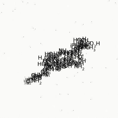 CC(C)[C@H](NC(=O)[C@H](Cc1ccc(O)cc1)NC(=O)[C@H](CO)NC(=O)[C@H](CCCNC(=N)N)NC(=O)[C@H](CO)NC(=O)[C@H](CO)NC(=O)[C@H](CO)NC(=O)[C@@H]1CCCN1C(=O)[C@H](CCCNC(=N)N)NC(=O)[C@H](CO)NC(=O)[C@H](C)NC(=O)[C@@H](NC(=O)CNC(=O)[C@@H]1CCCN1C(=O)CNC(=O)CNC(=O)[C@@H](N)Cc1ccccc1)[C@@H](C)O)C(=O)N[C@H](C(=O)N[C@H](C(=O)O)[C@@H](C)O)[C@@H](C)O